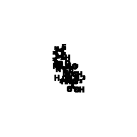 Cn1c(C(C)(C)NC(=O)C(=O)O)nc(-c2nnc(Cc3ccc(F)cc3)o2)c(O)c1=O